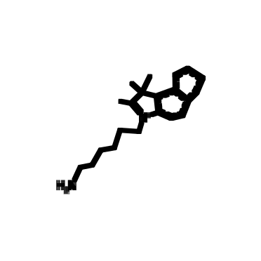 CC1=[N+](CCCCCCN)c2ccc3ccccc3c2C1(C)C